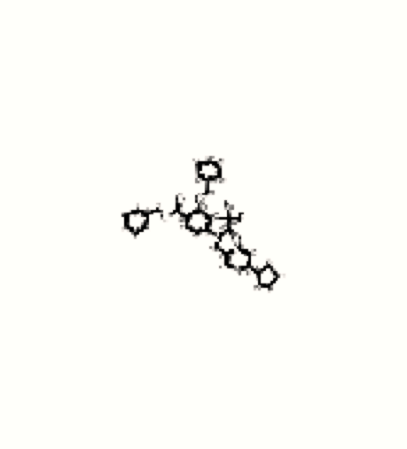 O=C(OCc1ccccc1)c1ccc(N(Cc2cnc(C3CCCC3)cn2)C(=O)C(F)(F)F)cc1OCc1ccccc1